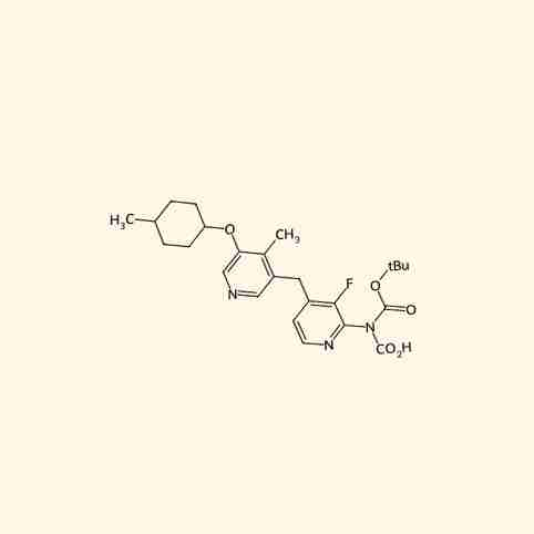 Cc1c(Cc2ccnc(N(C(=O)O)C(=O)OC(C)(C)C)c2F)cncc1OC1CCC(C)CC1